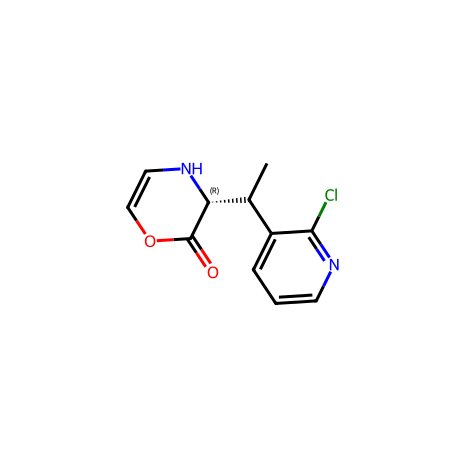 CC(c1cccnc1Cl)[C@H]1NC=COC1=O